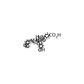 O=C(Nc1ccc(C(=O)O)cc1)N[C@@H](Cc1ccc(O)cc1)C(=O)N[C@H]1CCN(Cc2ccc3c(c2)OCO3)C1